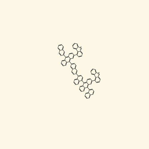 c1ccc2cc(-c3c4ccccc4c(-c4ccc5cc(-c6ccc(-c7c8ccccc8c(-c8cccc9ccccc89)c8cc(-c9cccc%10sc%11ccccc%11c9%10)ccc78)c7ccccc67)ccc5c4)c4cc(-c5cccc6sc7ccccc7c56)ccc34)ccc2c1